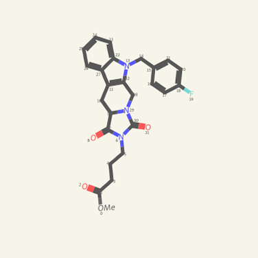 COC(=O)CCCN1C(=O)C2Cc3c(n(Cc4ccc(F)cc4)c4ccccc34)CN2C1=O